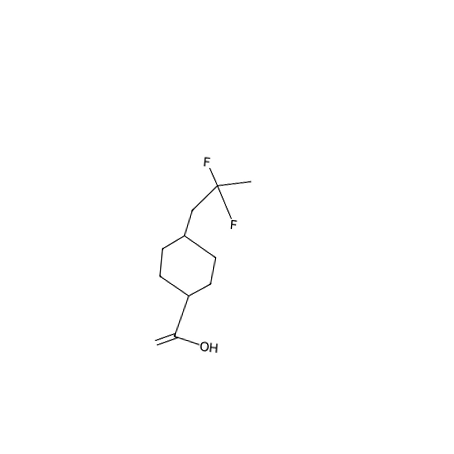 C=C(O)C1CCC(CC(C)(F)F)CC1